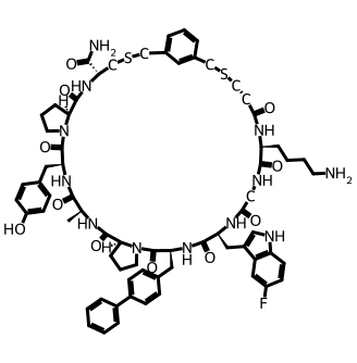 C[C@@H]1NC(=O)[C@@H]2CCCN2C(=O)[C@H](Cc2ccc(-c3ccccc3)cc2)NC(=O)[C@H](Cc2c[nH]c3ccc(F)cc23)NC(=O)CNC(=O)[C@H](CCCCN)NC(=O)CCSCc2cccc(c2)CSC[C@@H](C(N)=O)NC(=O)[C@@H]2CCCN2C(=O)[C@H](Cc2ccc(O)cc2)NC1=O